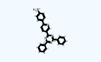 Bc1ccc(-c2ccc(-c3nc(-c4ccccc4)nc(-c4ccccc4)n3)cn2)cc1